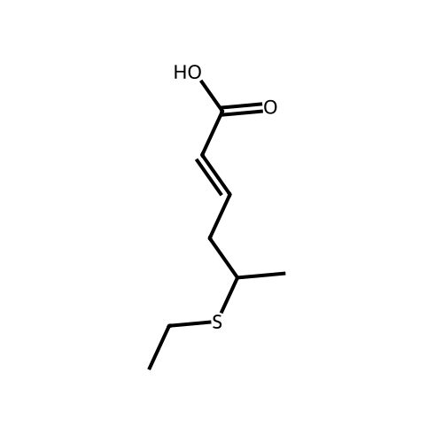 CCSC(C)CC=CC(=O)O